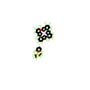 FC1=C(F)C([B-](C2C(F)=C(F)c3c2cc(F)c(F)c3F)(C2C(F)=C(F)c3c2cc(F)c(F)c3F)C2C(F)=C(F)c3c2cc(F)c(F)c3F)c2cc(F)c(F)c(F)c21.Fc1ccc([PH+](C(F)(F)C(F)(F)F)C(F)(F)C(F)(F)F)c(F)c1